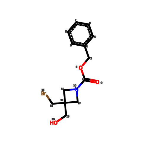 O=C(OCc1ccccc1)N1CC(CO)(CBr)C1